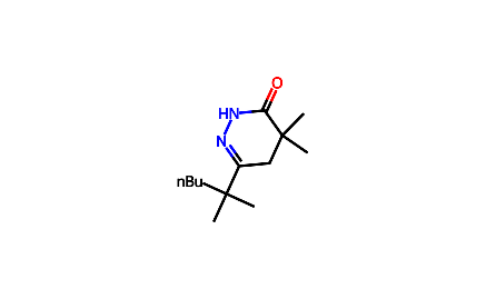 CCCCC(C)(C)C1=NNC(=O)C(C)(C)C1